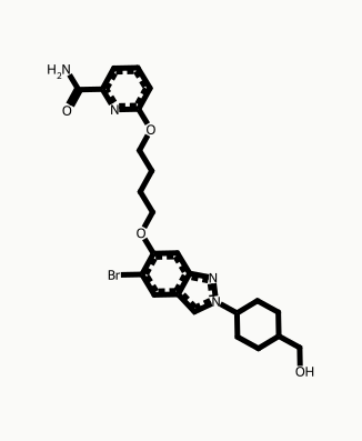 NC(=O)c1cccc(OCCCCOc2cc3nn(C4CCC(CO)CC4)cc3cc2Br)n1